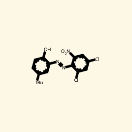 CC(C)(C)c1ccc(O)c(N=Nc2c(Cl)cc(Cl)cc2[N+](=O)[O-])c1